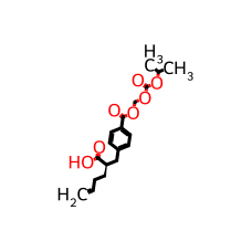 C=CCC[C@H](Cc1ccc(C(=O)OCOC(=O)OC(C)C)cc1)C(=O)O